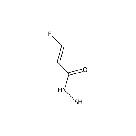 O=C(/C=C/F)NS